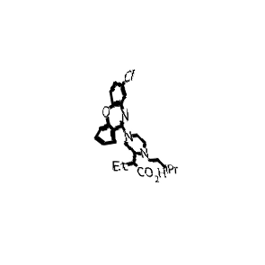 CCC(C(=O)O)C1CN(C2=Nc3cc(Cl)ccc3Oc3ccccc32)CCN1CCC(C)C